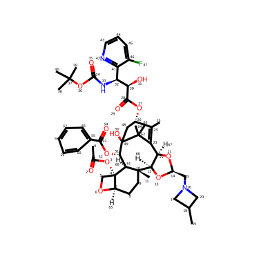 CC(=O)O[C@@]12CO[C@@H]1CC[C@@]1(C)[C@@H]3O[C@H](CN4CC(C)C4)O[C@@H]3C3=C(C)[C@@H](OC(=O)[C@H](O)[C@@H](NC(=O)OC(C)(C)C)c4ncccc4F)C[C@@](O)([C@@H](OC(=O)c4ccccc4)[C@@H]12)C3(C)C